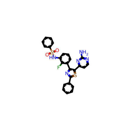 Nc1nccc(-c2sc(-c3ccccc3)nc2-c2cccc(NS(=O)(=O)c3ccccc3)c2F)n1